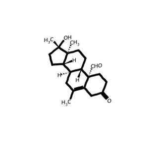 CC1=C2CC(=O)CC[C@]2(C=O)[C@H]2CC[C@@]3(C)[C@@H](CC[C@]3(C)O)[C@@H]2C1